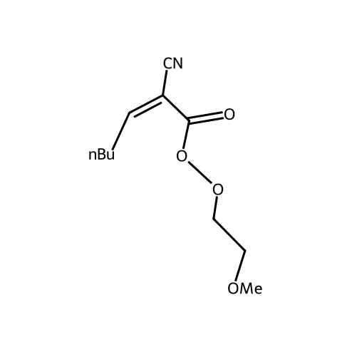 CCCCC=C(C#N)C(=O)OOCCOC